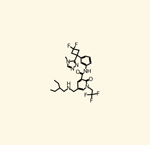 CCC(CC)CNCc1cc(C(=O)Nc2cccc(C3(c4nncn4C)CC(F)(F)C3)c2)c(=O)n(CC(F)(F)F)c1